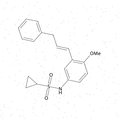 COc1ccc(NS(=O)(=O)C2CC2)cc1C=CCc1ccccc1